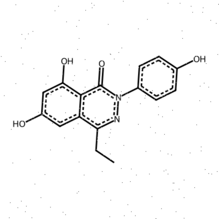 CCc1nn(-c2ccc(O)cc2)c(=O)c2c(O)cc(O)cc12